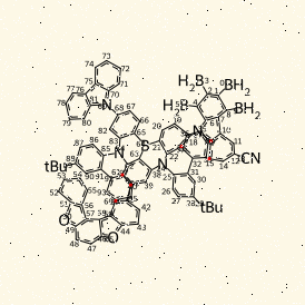 Bc1c(B)c(B)c2c(c1B)c1cc(C#N)ccc1n2-c1ccc2c(c1)N(c1ccc(C(C)(C)C)cc1-c1ccccc1)c1cc(-c3ccc4oc5ccc6oc7ccccc7c6c5c4c3)cc3c1B2c1ccc(-n2c4ccccc4c4ccccc42)cc1N3c1ccc(C(C)(C)C)cc1-c1ccccc1